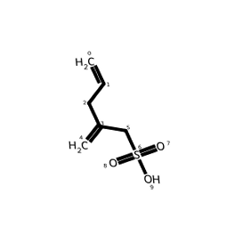 C=CCC(=C)CS(=O)(=O)O